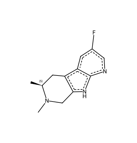 C[C@H]1Cc2c([nH]c3ncc(F)cc23)CN1C